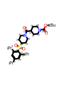 CC(C)c1cc(C(C)C)c(S(=O)(=O)C2CCN(C(=O)C3CCN(C(=O)OC(C)(C)C)CC3)CC2)c(C(C)C)c1